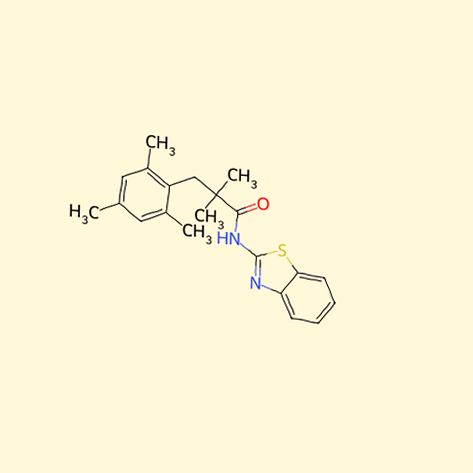 Cc1cc(C)c(CC(C)(C)C(=O)Nc2nc3ccccc3s2)c(C)c1